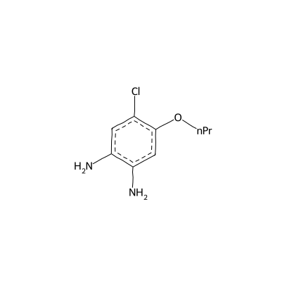 CCCOc1cc(N)c(N)cc1Cl